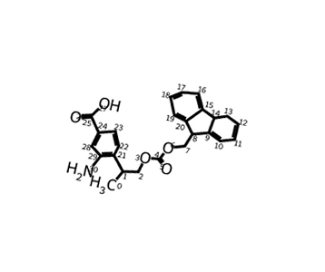 CC(COC(=O)OCC1C2=CC=CCC2c2ccccc21)c1ccc(C(=O)O)cc1N